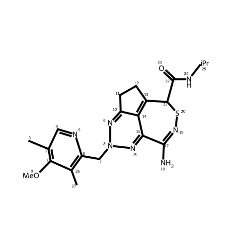 COc1c(C)cnc(CN2N=C3CCC4=C3C(=N2)C(N)=NSC4C(=O)NC(C)C)c1C